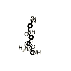 Nc1ncc(-c2cccc(C(=O)NCc3ccc(-c4csnn4)cc3)c2)nc1C(=O)N[C@H]1CCCNC1